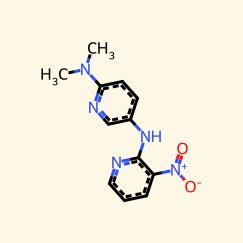 CN(C)c1ccc(Nc2ncccc2[N+](=O)[O-])cn1